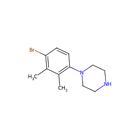 Cc1c(Br)ccc(N2CCNCC2)c1C